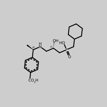 C[C@@H](NC[C@H](O)CP(=O)(O)CC1CCCCC1)c1ccc(C(=O)O)cc1